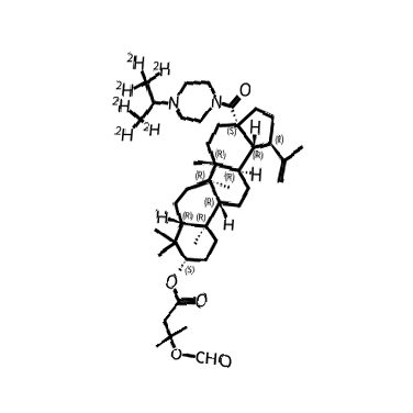 [2H]C([2H])([2H])C(N1CCN(C(=O)[C@]23CC[C@@H](C(=C)C)[C@@H]2[C@H]2CC[C@@H]4[C@@]5(C)CC[C@H](OC(=O)CC(C)(C)OC=O)C(C)(C)[C@@H]5CC[C@@]4(C)[C@]2(C)CC3)CC1)C([2H])([2H])[2H]